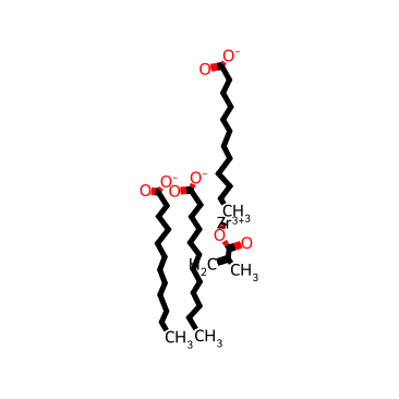 C=C(C)C(=O)[O][Zr+3].CCCCCCCCCCCC(=O)[O-].CCCCCCCCCCCC(=O)[O-].CCCCCCCCCCCC(=O)[O-]